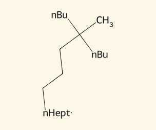 CCCCCC[CH]CCCC(C)(CCCC)CCCC